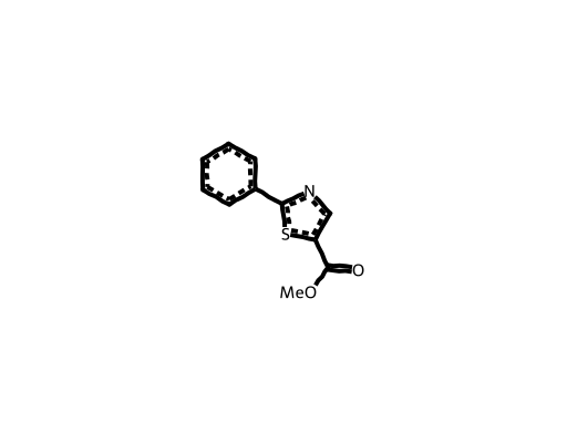 COC(=O)c1cnc(-c2ccccc2)s1